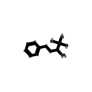 CC[N+](CC)(CC)C(C)CCc1ccccc1